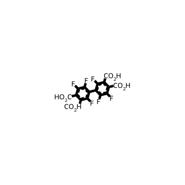 O=C(O)c1c(F)c(F)c(-c2c(F)c(F)c(C(=O)O)c(C(=O)O)c2F)c(F)c1C(=O)O